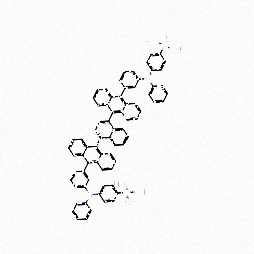 C[Si](C)(C)c1ccc(N(c2ccccc2)c2cccc(-c3c4ccccc4c(-c4ccc(-c5c6ccccc6c(-c6cccc(N(c7ccccc7)c7ccc([Si](C)(C)C)cc7)c6)c6ccccc56)c5ccccc45)c4ccccc34)c2)cc1